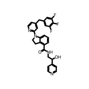 O=C(NCC(O)c1ccncc1)c1cccc2c1CCN2c1cc(Cc2cc(F)c(F)c(F)c2)ccn1